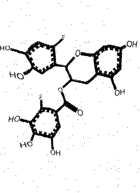 O=C(OC1Cc2c(O)cc(O)cc2O[C@@H]1c1cc(O)c(O)cc1F)c1cc(O)c(O)c(O)c1F